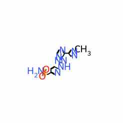 Cn1cc(-c2nccn3nc(Nc4ccc(CS(N)(=O)=O)cn4)nc23)cn1